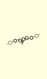 CC1CCC(c2ccc(COc3ccc(OCc4ccc(C5CCC(C)CC5)cc4)c(F)c3)cc2)CC1